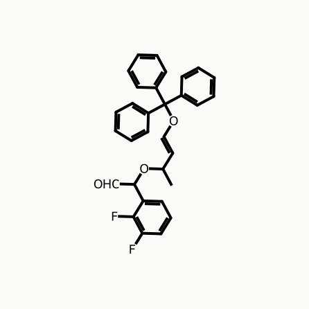 CC(C=COC(c1ccccc1)(c1ccccc1)c1ccccc1)OC(C=O)c1cccc(F)c1F